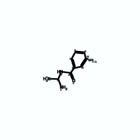 NC(N)NC(=O)c1cccc([127I])c1